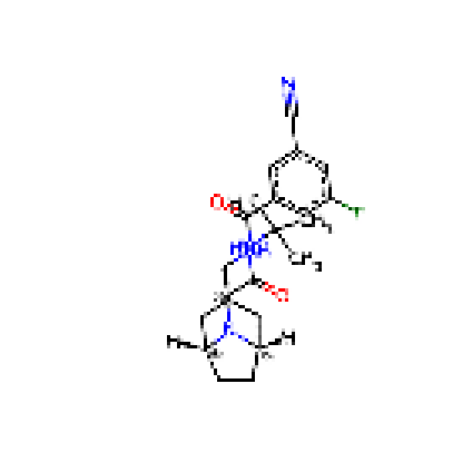 CC(C)(C)NC(=O)CN1[C@@H]2CC[C@H]1C[C@H](CNC(=O)c1cc(F)cc(C#N)c1)C2